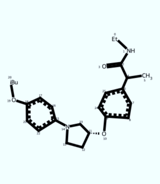 CCNC(=O)C(C)c1ccc(O[C@@H]2CCN(c3ccc(OC(C)CC)cc3)C2)cc1